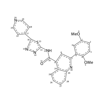 COc1ccc(OC)c(-c2cc(C(=O)Nc3nnc(-c4ccncc4)s3)c3ccccc3n2)c1